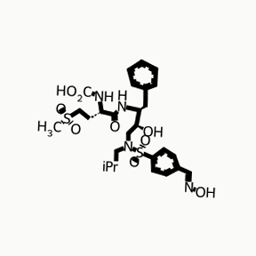 CC(C)CN(C[C@H](O)[C@H](Cc1ccccc1)NC(=O)[C@H](CCS(C)(=O)=O)NC(=O)O)S(=O)(=O)c1ccc(C=NO)cc1